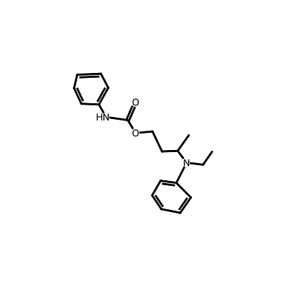 CCN(c1ccccc1)C(C)CCOC(=O)Nc1ccccc1